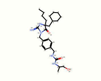 CCCCC1(CC2CCCCC2)NC(=N)N(Cc2ccc(CNC(=O)NC(C)CO)cc2)C1=O